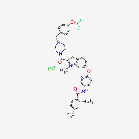 Cc1cc(C(F)(F)F)ccc1C(=O)Nc1ccc(Oc2ccc3cc(C(=O)N4CCN(Cc5ccc(OC(F)F)cc5)CC4)n(C)c3c2)nc1.Cl